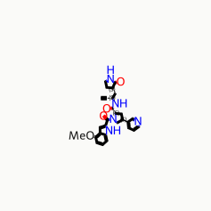 C#C[C@H](C[C@@H]1CCNC1=O)NC(=O)[C@@H]1C[C@@H](c2cccnc2)CN1C(=O)c1cc2c(OC)cccc2[nH]1